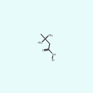 CCCCC(C)(CCCC)CC(=O)NC(C)C